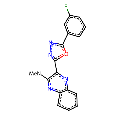 CNc1nc2ccccc2nc1-c1nnc(-c2cccc(F)c2)o1